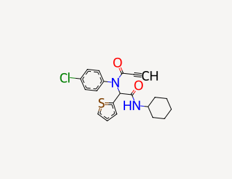 C#CC(=O)N(c1ccc(Cl)cc1)C(C(=O)NC1CCCCC1)c1cccs1